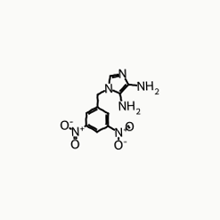 Nc1ncn(Cc2cc([N+](=O)[O-])cc([N+](=O)[O-])c2)c1N